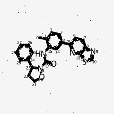 Cc1ccc(-c2ccc3ncsc3n2)cc1NC(=O)N1OCCC1c1ccccc1